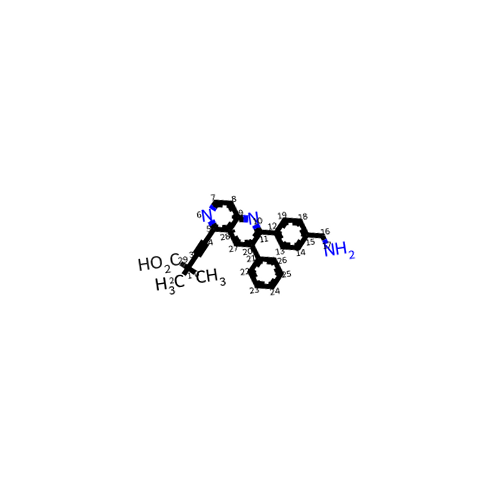 CC(C)(C#Cc1nccc2nc(-c3ccc(CN)cc3)c(-c3ccccc3)cc12)C(=O)O